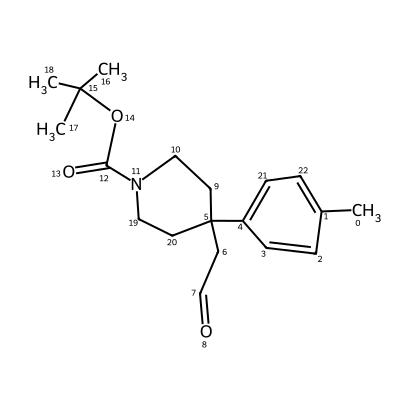 Cc1ccc(C2(CC=O)CCN(C(=O)OC(C)(C)C)CC2)cc1